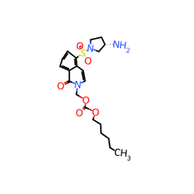 CCCCCCOC(=O)OCn1ccc2c(S(=O)(=O)N3CC[C@H](N)C3)cccc2c1=O